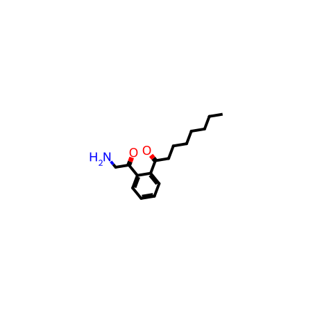 CCCCCCCC(=O)c1ccccc1C(=O)CN